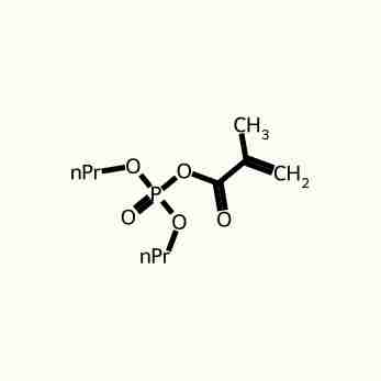 C=C(C)C(=O)OP(=O)(OCCC)OCCC